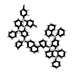 Cc1ccc(N2c3ccc(C)cc3B3c4ccc(N(c5ccccc5)c5ccc6c(-c7cccc(N8c9cc(N(c%10ccccc%10)c%10cccc%11ccccc%10%11)ccc9B9c%10ccccc%10N(c%10ccccc%10)c%10cccc8c%109)c7)cccc6c5)cc4N(c4ccccc4)c4cccc2c43)cc1